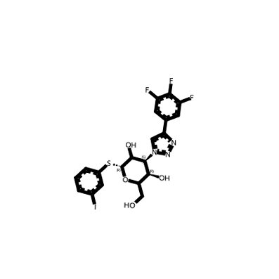 OCC1O[C@H](Sc2cccc(I)c2)C(O)[C@@H](n2cc(-c3cc(F)c(F)c(F)c3)nn2)[C@H]1O